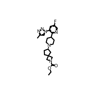 CCOC(=O)N1CC2(CC[C@@H](N3CCC(c4ncc(F)cc4-n4cc(C)nn4)CC3)C2)C1